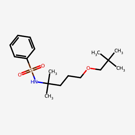 CC(C)(C)COCCCC(C)(C)NS(=O)(=O)c1ccccc1